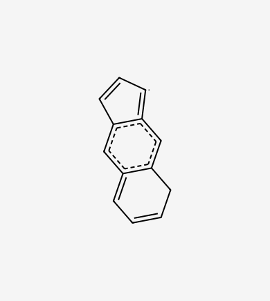 [C]1=c2cc3c(cc2C=C1)=CC=CC3